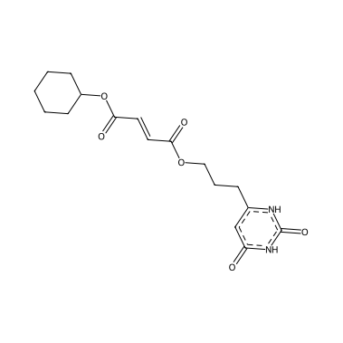 O=C(/C=C/C(=O)OC1CCCCC1)OCCCc1cc(=O)[nH]c(=O)[nH]1